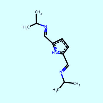 CC(C)/N=C/c1ccc(/C=N/C(C)C)[nH]1